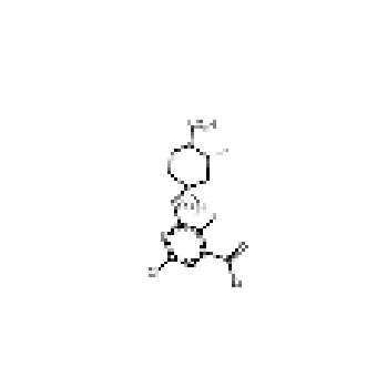 CCC(=O)c1cc(Cl)nc(C[C@@]2(C(=O)O)CCN(C(=O)O)[C@H](C)C2)c1F